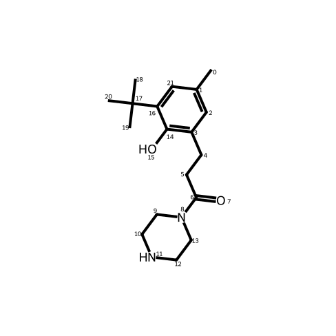 Cc1cc(CCC(=O)N2CCNCC2)c(O)c(C(C)(C)C)c1